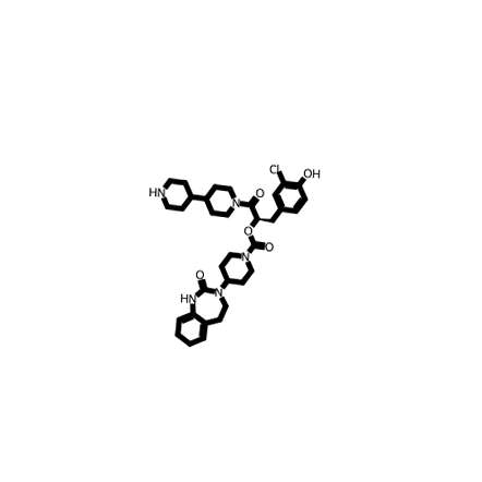 O=C(O[C@H](Cc1ccc(O)c(Cl)c1)C(=O)N1CCC(C2CCNCC2)CC1)N1CCC(N2CCC3=CCCC=C3NC2=O)CC1